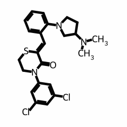 CN(C)C1CCN(c2ccccc2C=C2SCCN(c3cc(Cl)cc(Cl)c3)C2=O)C1